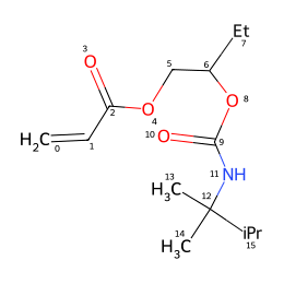 C=CC(=O)OCC(CC)OC(=O)NC(C)(C)C(C)C